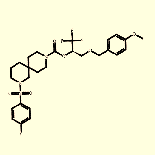 COc1ccc(COC[C@@H](OC(=O)N2CCC3(CCCN(S(=O)(=O)c4ccc(F)cc4)C3)CC2)C(F)(F)F)cc1